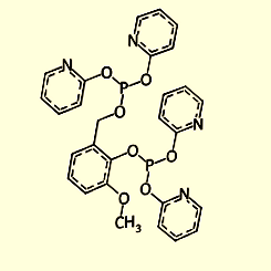 COc1cccc(COP(Oc2ccccn2)Oc2ccccn2)c1OP(Oc1ccccn1)Oc1ccccn1